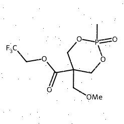 COCC1(C(=O)OCC(F)(F)F)COP(C)(=O)OC1